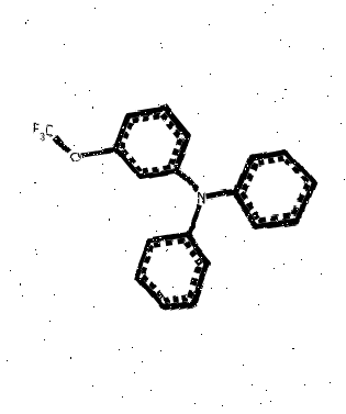 FC(F)(F)Oc1cccc(N(c2ccccc2)c2ccccc2)c1